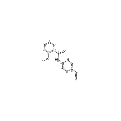 COc1ccccc1C(=O)Nc1ccc(C=O)cn1